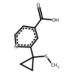 CSC1(c2cc(C(=O)O)ccn2)CC1